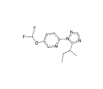 CCC(C)c1ncnn1-c1ccc(OC(F)F)cn1